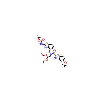 CCOC(CN(Cc1cccc2sc(NC(=O)OC(C)(C)C)nc12)C(=O)[C@@H](N)Cc1ccc(OC(C)(C)C)cc1)OCC